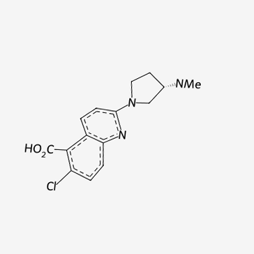 CN[C@H]1CCN(c2ccc3c(C(=O)O)c(Cl)ccc3n2)C1